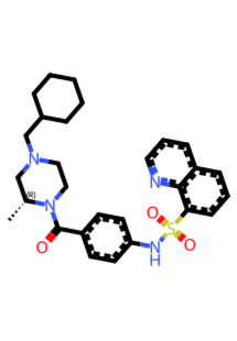 C[C@@H]1CN(CC2CCCCC2)CCN1C(=O)c1ccc(NS(=O)(=O)c2cccc3cccnc23)cc1